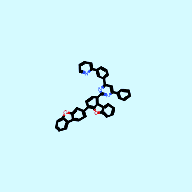 c1ccc(-c2cc(-c3cccc(-c4ccccn4)c3)nc(-c3ccc(-c4ccc5c(c4)oc4ccccc45)c4oc5ccccc5c34)n2)cc1